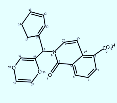 O=C(O)c1cccc2c(=O)n(C(C3=CC=CCC3)C3=COC=CO3)ccc12